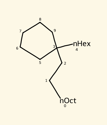 CCCCCCCCCCC1(CCCCCC)CCCCC1